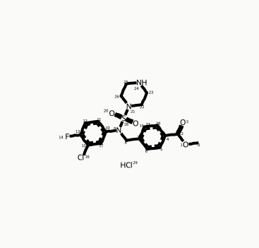 COC(=O)c1ccc(CN(c2ccc(F)c(Cl)c2)S(=O)(=O)N2CCNCC2)cc1.Cl